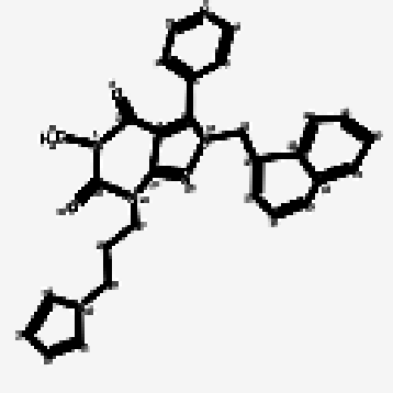 Cn1c(=O)c2c(-c3ccncc3)n(Cc3cccc4ccccc34)nc2n(CCCn2cccc2)c1=O